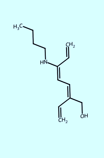 C=C/C(=C\C=C(/C=C)NCCCC)CO